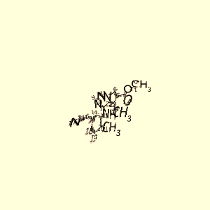 CCOC(=O)c1cn2ncnc(Nc3cc(C#N)ccc3C)c2c1C